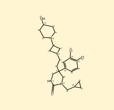 O=C1NCC(CCN2CC(N3CCC(O)CC3)C2)(c2ccc(Cl)c(Cl)c2)CN1CC1CC1